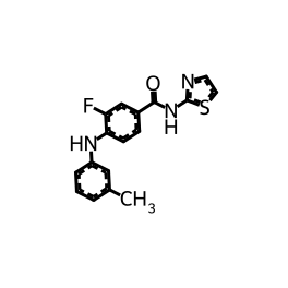 Cc1cccc(Nc2ccc(C(=O)Nc3nccs3)cc2F)c1